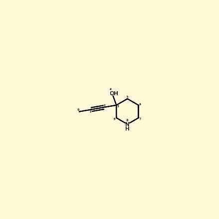 CC#CC1(O)CCCNC1